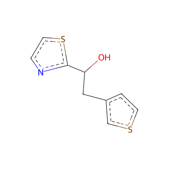 OC(Cc1ccsc1)c1nccs1